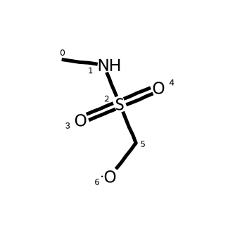 CNS(=O)(=O)C[O]